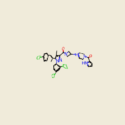 C/C(=C\c1ccc(Cl)cc1)c1c(C)c(C(=O)N2CC(N3CCN(C(=O)c4ccc[nH]4)CC3)C2)nn1-c1ccc(Cl)cc1Cl